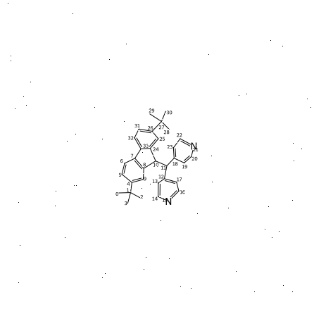 CC(C)(C)c1ccc2c(c1)C(C(c1ccncc1)c1ccncc1)c1cc(C(C)(C)C)ccc1-2